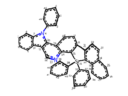 c1ccc(-n2c3ccccc3c3cnc4c5c(ccc4c32)-c2ccc3ccccc3c2[Si]5(c2ccccc2)c2ccccc2)cc1